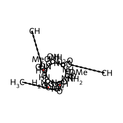 C#CC#CC#CC#CC#CC#CC#CC#COC(=O)Cc1cc2cc(c1)C(=O)NC1CC(N)C(C(=O)OC)CC1C(=O)Nc1cc(CC(=O)OC#CC#CC#CC#CC#CC#CC#CC#C)cc(c1O)C(=O)NC1CC(N)C(C(=O)OC)CC1C(=O)Nc1cc(CC(=O)OCC#CC#CC#CC#CC#CC#CC#CC)cc(c1O)C(=O)NC1CC(N)C(C(=O)OC)CC1C(=O)N2